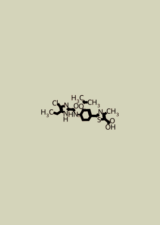 CCc1[nH]c(C(=O)N[C@@H]2CCC(c3nc(C)c(C(=O)O)s3)=C[C@@H]2OC(C)C)nc1Cl